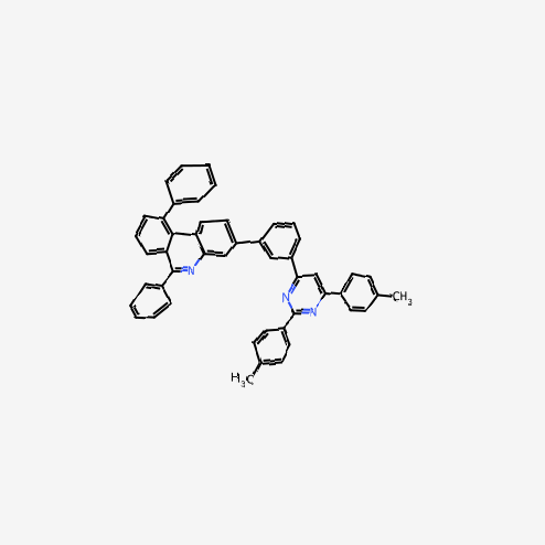 Cc1ccc(-c2cc(-c3cccc(-c4ccc5c(c4)nc(-c4ccccc4)c4cccc(-c6ccccc6)c45)c3)nc(-c3ccc(C)cc3)n2)cc1